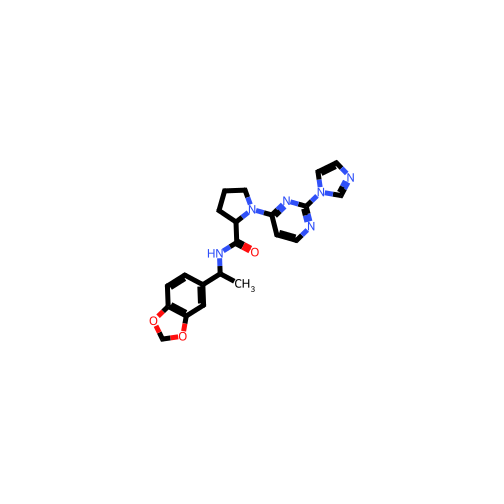 CC(NC(=O)C1CCCN1c1ccnc(-n2ccnc2)n1)c1ccc2c(c1)OCO2